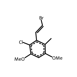 COc1cc(OC)c(Cl)c(/C=C/Br)c1C